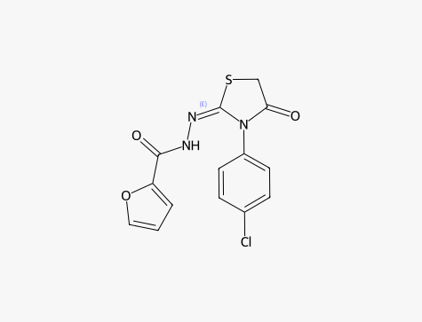 O=C(N/N=C1/SCC(=O)N1c1ccc(Cl)cc1)c1ccco1